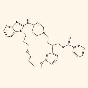 CCCOCCCn1c(NC2CCN(CCC(CN(C)C(=O)c3ccccc3)c3cccc(OC)c3)CC2)nc2ccccc21